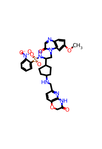 COc1ccc2ncc(=O)n(CC(NS(=O)(=O)c3ccccc3[N+](=O)[O-])C3CCC(NCc4ccc5c(n4)NC(=O)CO5)CC3)c2c1